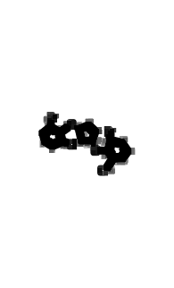 Clc1cccc(Br)c1O[C@@H]1C=C[C@H](Oc2c(Cl)cccc2Br)C1